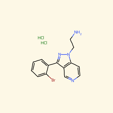 Cl.Cl.NCCn1nc(-c2ccccc2Br)c2cnccc21